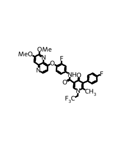 COc1cc2nccc(Oc3ccc(NC(=O)c4cn(CC(F)(F)F)c(C)c(-c5ccc(F)cc5)c4=O)cc3F)c2nc1OC